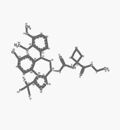 CCOC(=O)C1(NC(=O)C[C@H]2S[C@H](c3cccc(OC)c3OC)c3cc(Cl)ccc3-n3c2nnc3C(F)(F)F)CCC1